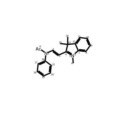 CC(=O)N(C=CC1=[N+](C)c2ccccc2C1(C)C)c1ccccc1